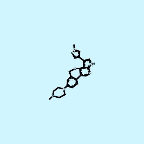 CN1CCN(c2ccc3c(c2)COc2c-3cnc3[nH]cc(-c4cnn(C)c4)c23)CC1